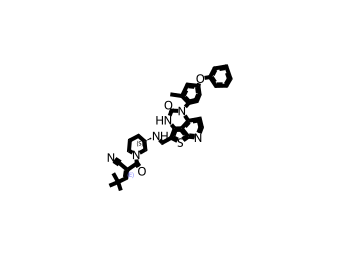 Cc1cc(Oc2ccccc2)ccc1N1C(=O)Nc2c(CN[C@H]3CCCN(C(=O)/C(C#N)=C/C(C)(C)C)C3)sc3nccc1c23